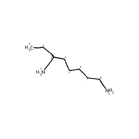 CCC(N)CCCCCN